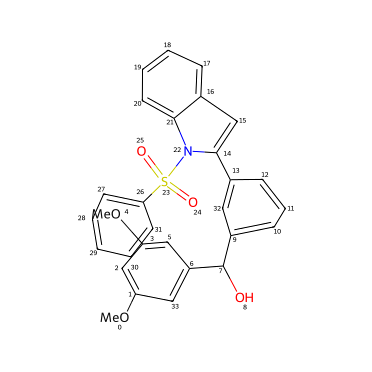 COc1cc(OC)cc(C(O)c2cccc(-c3cc4ccccc4n3S(=O)(=O)c3ccccc3)c2)c1